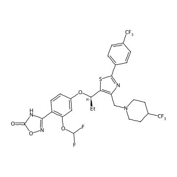 CC[C@@H](Oc1ccc(-c2noc(=O)[nH]2)c(OC(F)F)c1)c1sc(-c2ccc(C(F)(F)F)cc2)nc1CN1CCC(C(F)(F)F)CC1